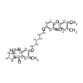 Cc1ccc(Oc2ccc(OCCCCCCOc3cc4c(cc3C)C(=O)N3CCC[C@H]3C=N4)cc2[N+](=O)[O-])cc1C